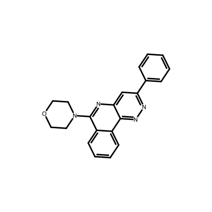 c1ccc(-c2cc3nc(N4CCOCC4)c4ccccc4c3nn2)cc1